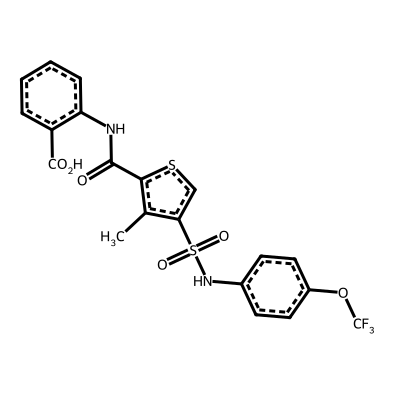 Cc1c(S(=O)(=O)Nc2ccc(OC(F)(F)F)cc2)csc1C(=O)Nc1ccccc1C(=O)O